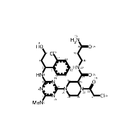 CNc1nc(NC(CCO)c2ccccc2Cl)nc(N2CCN(C(=O)CCl)C(C(=O)NCCC(N)=O)C2)n1